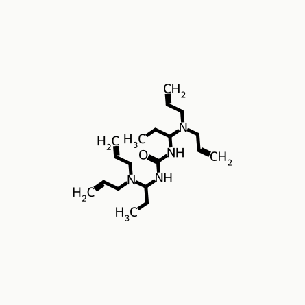 C=CCN(CC=C)C(CC)NC(=O)NC(CC)N(CC=C)CC=C